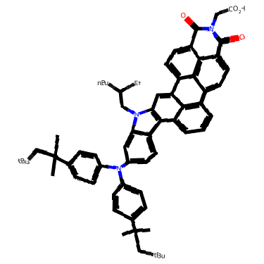 CCCCC(CC)Cn1c2cc(N(c3ccc(C(C)(C)CC(C)(C)C)cc3)c3ccc(C(C)(C)CC(C)(C)C)cc3)ccc2c2c3cccc4c5ccc6c7c(ccc(c(cc21)c43)c75)C(=O)N(CC(=O)O)C6=O